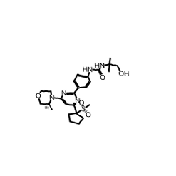 C[C@H]1COCCN1c1cc(C2(S(C)(=O)=O)CCCC2)nc(-c2ccc(NC(=O)NC(C)(C)CO)cc2)n1